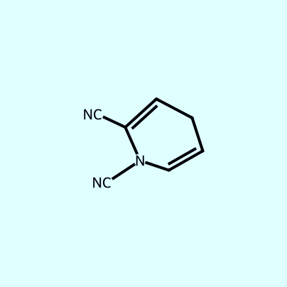 N#CC1=CCC=CN1C#N